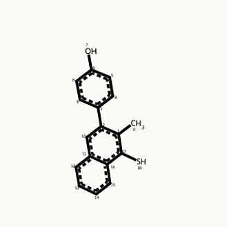 Cc1c(-c2ccc(O)cc2)cc2ccccc2c1S